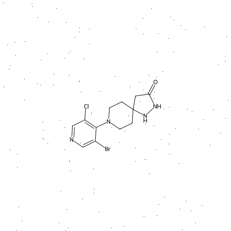 O=C1CC2(CCN(c3c(Cl)cncc3Br)CC2)NN1